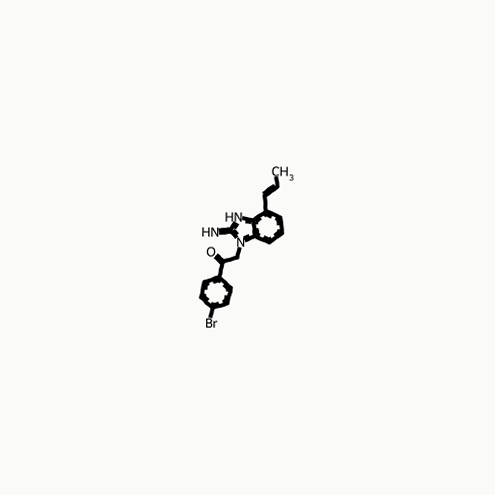 C/C=C/c1cccc2c1[nH]c(=N)n2CC(=O)c1ccc(Br)cc1